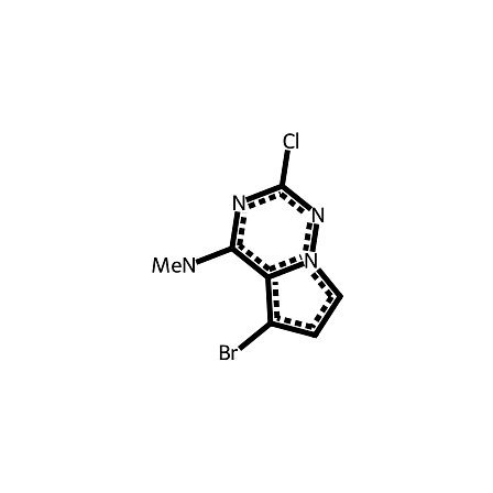 CNc1nc(Cl)nn2ccc(Br)c12